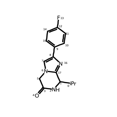 CC(C)C1NC(=O)Cn2cc(-c3ccc(F)cc3)nc21